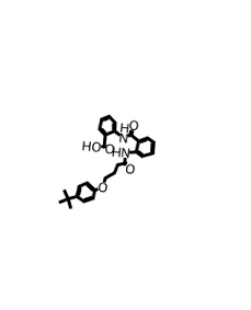 CC(C)(C)c1ccc(OCCCC(=O)Nc2ccccc2C(=O)Nc2ccccc2C(=O)O)cc1